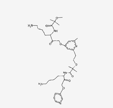 COC(C)(C)C(=O)NC(CCCCN)C(=O)COc1cc(C)nc(CCOC(C)(C)C(=O)NC(CCCCN)C(=O)COc2cccnc2)c1